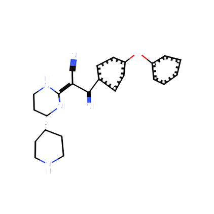 N#C/C(C(=N)c1ccc(Oc2ccccc2)cc1)=C1\NCC[C@@H](C2CCNCC2)N1